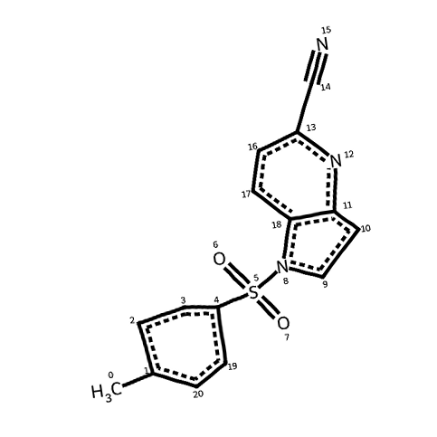 Cc1ccc(S(=O)(=O)n2ccc3nc(C#N)ccc32)cc1